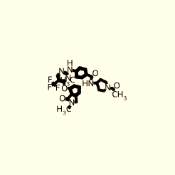 CC(=O)N1CCC(NC(=O)c2ccc(Nc3ncc(C(F)(F)F)c(Oc4cccc5c4C(=O)N(C)C5)n3)c(C)c2)CC1